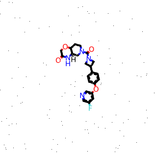 O=C1COC2CCN(C(=O)N3CC(c4ccc(Oc5cncc(F)c5)cc4)C3)C[C@H]2N1